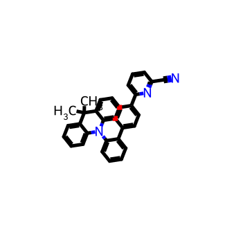 CC1(C)c2ccccc2N(c2ccccc2-c2ccc(-c3cccc(C#N)n3)cc2)c2ccccc21